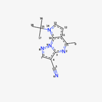 Cc1nc2c(C#N)cnn2c2c1ccn2C(C)(C)C